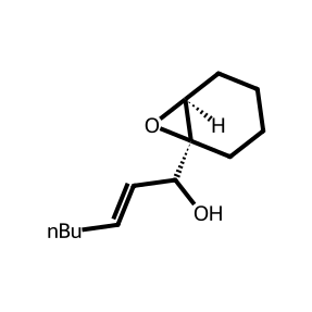 CCCC/C=C/C(O)[C@@]12CCCC[C@@H]1O2